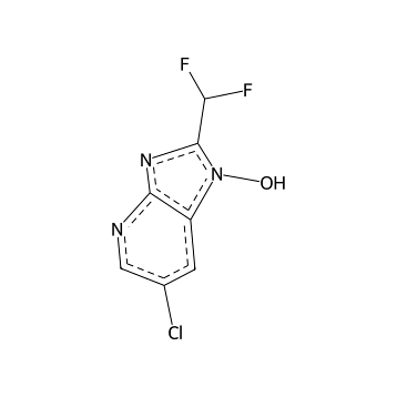 On1c(C(F)F)nc2ncc(Cl)cc21